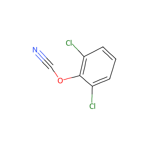 N#COc1c(Cl)cccc1Cl